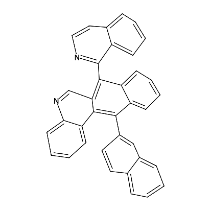 c1ccc2cc(-c3c4ccccc4c(-c4nccc5ccccc45)c4cnc5ccccc5c34)ccc2c1